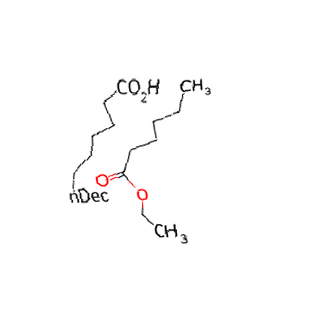 CCCCCC(=O)OCC.CCCCCCCCCCCCCCCC(=O)O